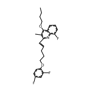 CCCCOc1c(C)c(C=CCCCOc2ccc(F)cc2F)nc2c(F)cccc12